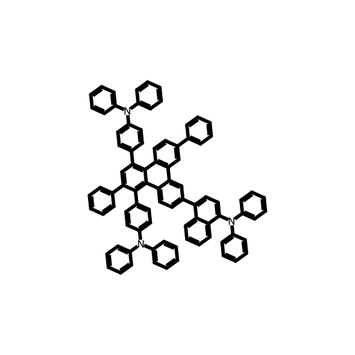 c1ccc(-c2ccc3c(c2)c2cc(-c4ccc(N(c5ccccc5)c5ccccc5)c5ccccc45)ccc2c2c(-c4ccc(N(c5ccccc5)c5ccccc5)cc4)c(-c4ccccc4)cc(-c4ccc(N(c5ccccc5)c5ccccc5)cc4)c32)cc1